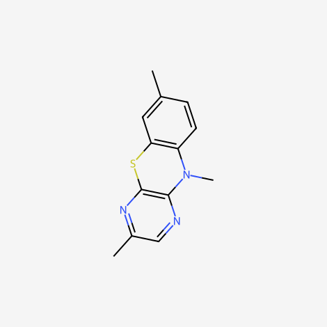 Cc1ccc2c(c1)Sc1nc(C)cnc1N2C